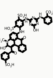 CN1c2ccc(Nc3cc(Nc4nc(O)nc(Nc5ccccc5C(=O)O)n4)c(S(=O)(=O)O)cc3S(=O)(=O)O)c3c2C(=C(C(=O)c2cccc(S(=O)(=O)O)c2)C1O)c1ccccc1C3=O